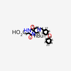 CCCCN1C(=O)C(CC(=O)O)NC(=O)C12CCN(Cc1ccc(Oc3ccccc3)cc1)CC2